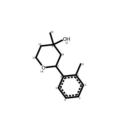 Cc1ccccc1C1CC(C)(O)CCO1